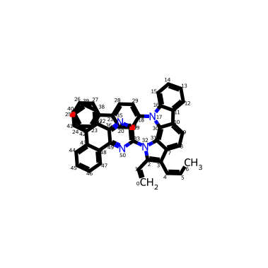 C=Cc1c(/C=C\C)c2ccc3c4ccccc4n(-c4ccc(-c5ccccc5)cc4)c3c2n1-c1cnc2c3ccccc3c3ccccc3c2n1